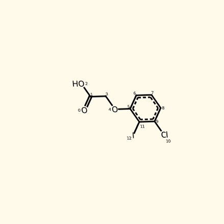 O=C(O)COc1cccc(Cl)c1I